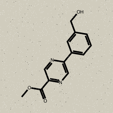 COC(=O)c1cnc(-c2cccc(CO)c2)cn1